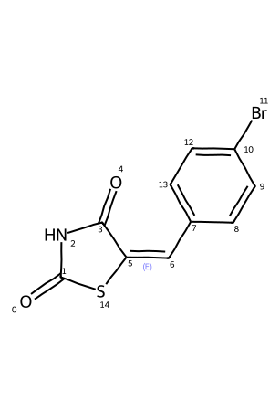 O=C1NC(=O)/C(=C\c2ccc(Br)cc2)S1